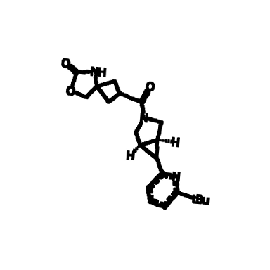 CC(C)(C)c1cccc(C2[C@H]3CN(C(=O)C4CC5(COC(=O)N5)C4)C[C@@H]23)n1